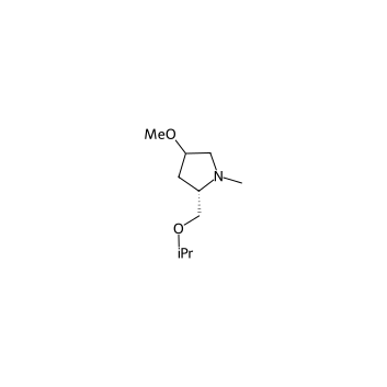 COC1C[C@@H](COC(C)C)N(C)C1